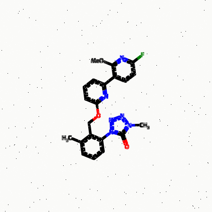 COc1nc(F)ccc1-c1cccc(OCc2c(C)cccc2-n2nnn(C)c2=O)n1